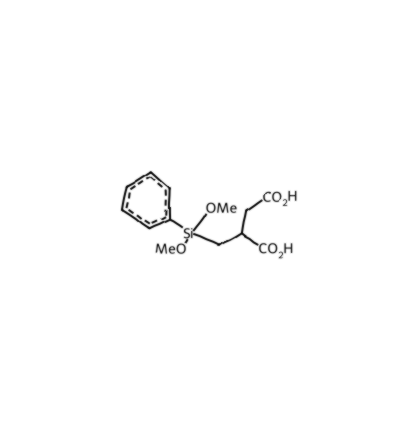 CO[Si](CC(CC(=O)O)C(=O)O)(OC)c1ccccc1